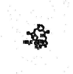 CC1(C)CC2/C(=C\c3cc(C(=O)NCc4csc(N)n4)ccn3)C(=O)N2[C@H]1C(=O)O